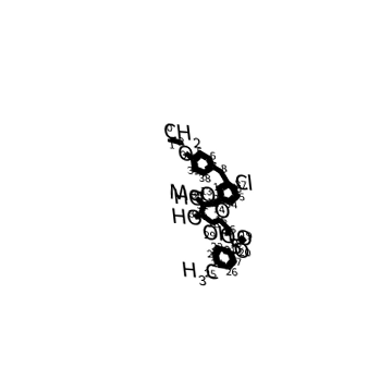 C=CCOc1ccc(Cc2cc(C3(OC)OC(COS(=O)(=O)c4ccc(C)cc4)C(O)C(O)C3O)ccc2Cl)cc1